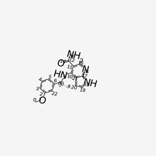 COc1cccc([C@@H](C)Nc2c(C(N)=O)cnc3[nH]ccc23)c1